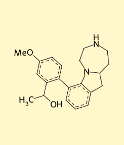 COc1ccc(-c2cccc3c2N2CCNCCC2C3)c(C(C)O)c1